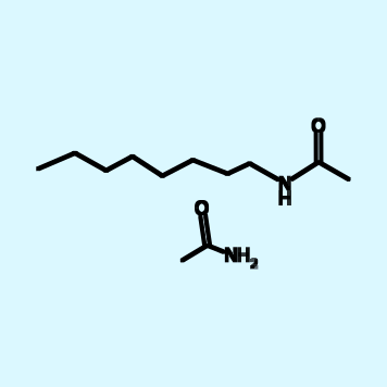 CC(N)=O.CCCCCCCCNC(C)=O